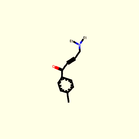 CCN(CC)CC#CC(=O)c1ccc(C)cc1